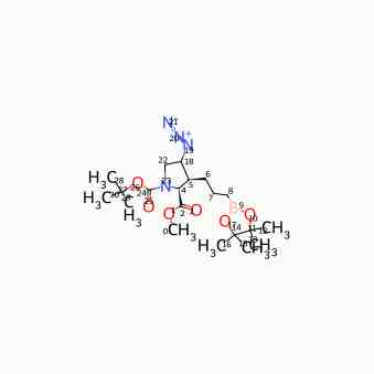 COC(=O)[C@@H]1[C@H](CCCB2OC(C)(C)C(C)(C)O2)C(N=[N+]=[N-])CN1C(=O)OC(C)(C)C